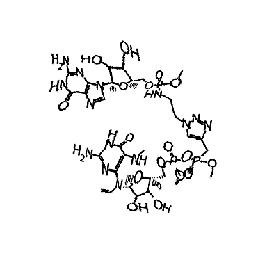 C=CN(c1nc(N)[nH]c(=O)c1NC)[C@@H]1O[C@H](COP(=O)(OC)OP(=O)(Cc2cn(CCNP(=O)(OC)OC[C@H]3O[C@@H](n4cnc5c(=O)[nH]c(N)nc54)C(O)C3O)nn2)OC)C(O)C1O